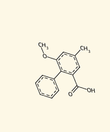 COc1cc(C)cc(C(=O)O)c1-c1ccccc1